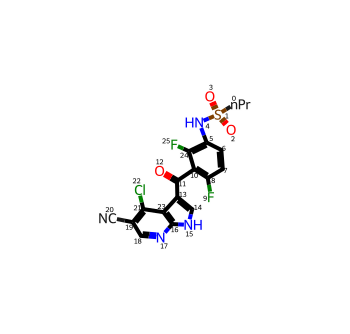 CCCS(=O)(=O)Nc1ccc(F)c(C(=O)c2c[nH]c3ncc(C#N)c(Cl)c23)c1F